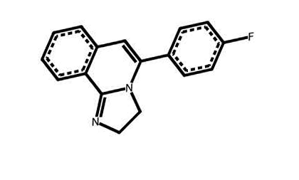 Fc1ccc(C2=Cc3ccccc3C3=NCCN23)cc1